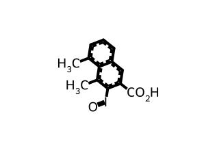 Cc1cccc2cc(C(=O)O)c(I=O)c(C)c12